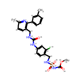 Cc1cccc(-c2nc(C(F)(F)F)ccc2CNC(=O)Nc2ccc(CNS(=O)(=O)NC(=O)OC(C)(C)C)c(F)c2)c1